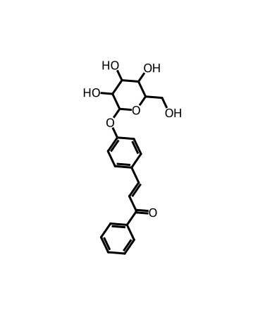 O=C(/C=C/c1ccc(OC2OC(CO)C(O)C(O)C2O)cc1)c1ccccc1